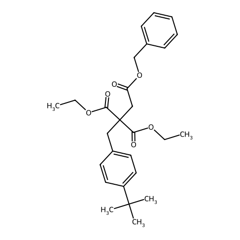 CCOC(=O)C(CC(=O)OCc1ccccc1)(Cc1ccc(C(C)(C)C)cc1)C(=O)OCC